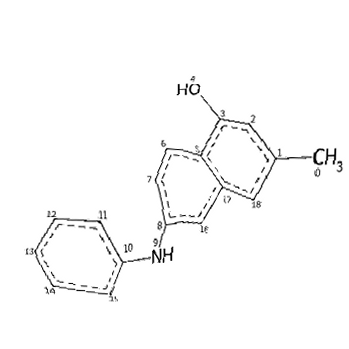 Cc1cc(O)c2ccc(Nc3ccccc3)cc2c1